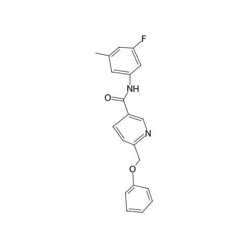 Cc1cc(F)cc(NC(=O)c2ccc(COc3ccccc3)nc2)c1